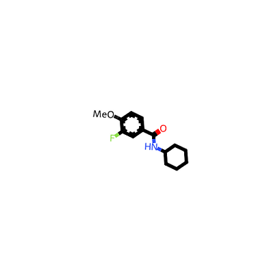 COc1ccc(C(=O)NC2CCCCC2)cc1F